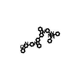 c1ccc(-c2nc(-c3ccccc3)nc(-c3cccc(-n4c5ccccc5c5cc(-c6ccc7c(c6)c6ccccc6n7-c6ccc(-c7cc8c(cn7)oc7ccccc78)cc6)ccc54)c3)n2)cc1